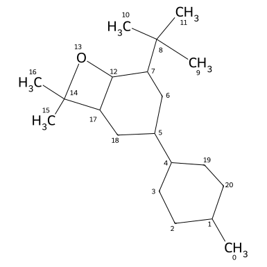 CC1CCC(C2CC(C(C)(C)C)C3OC(C)(C)C3C2)CC1